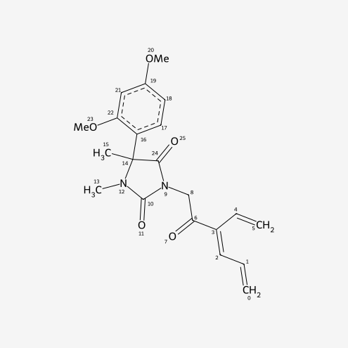 C=C/C=C(\C=C)C(=O)CN1C(=O)N(C)C(C)(c2ccc(OC)cc2OC)C1=O